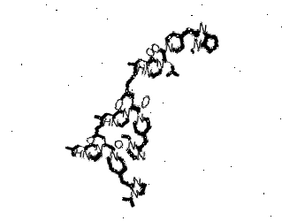 CCn1ccnc1CC1CCN(C(=O)[C@H](CC(C)CCC(C)C[C@@H]2NCCN([C@@H](CC(C)C)C(=O)N3CCC(Cc4nc5c(n4C)CCC5)CC3)C2=O)N2CCN[C@@H](CC(C)CCC(C)C[C@@H](C(=O)N3CCC(Cc4nccn4C(C)C)CC3)N3CCN[C@@H](CC(C)C)C3=O)C2=O)CC1